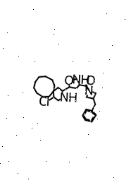 O=C(C1CC(C2CC3(CCCCCCCCC3)C(Cl)CN2)ON1)N1CC(Cc2ccccc2)C1